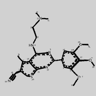 COc1cc(-c2nc(NCCN(C)C)c3c(C)c(C#N)sc3n2)cc(OC)c1OC